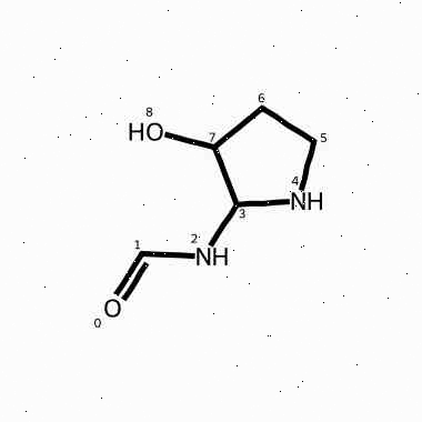 O=CNC1NCCC1O